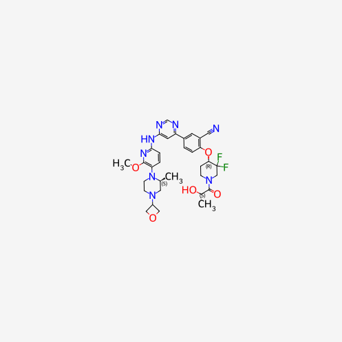 COc1nc(Nc2cc(-c3ccc(O[C@@H]4CCN(C(=O)[C@H](C)O)CC4(F)F)c(C#N)c3)ncn2)ccc1N1CCN(C2COC2)C[C@@H]1C